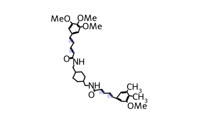 COc1cc(/C=C/C=C/C(=O)NCC2CCC(CNC(=O)/C=C/C=C/c3cc(OC)c(OC)c(OC)c3)CC2)cc(C)c1C